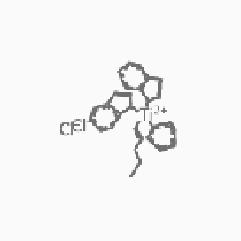 CCCC=[CH][Ti+2]([c]1ccccc1)([CH]1C=Cc2ccccc21)[CH]1C=Cc2ccccc21.[Cl-].[Cl-]